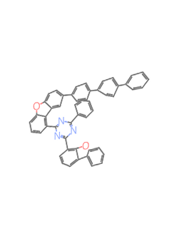 c1ccc(-c2ccc(-c3ccc(-c4ccc5oc6cccc(-c7nc(-c8ccccc8)nc(-c8cccc9c8oc8ccccc89)n7)c6c5c4)cc3)cc2)cc1